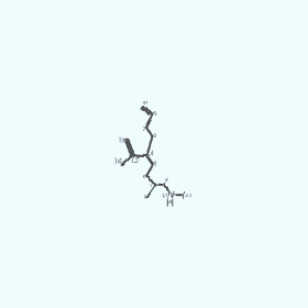 C=CCCC(CCC(C)CNI)C(=C)C